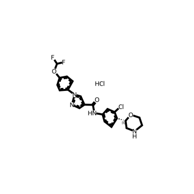 Cl.O=C(Nc1ccc([C@H]2CNCCO2)c(Cl)c1)c1cnn(-c2ccc(OC(F)F)cc2)c1